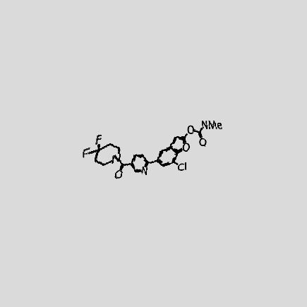 CNC(=O)Oc1cc2cc(-c3ccc(C(=O)N4CCC(F)(F)CC4)cn3)cc(Cl)c2o1